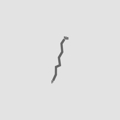 FCCCCC[CH2][Na]